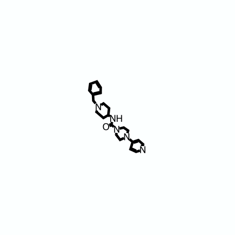 O=C(NC1CCN(Cc2ccccc2)CC1)N1CCN(c2ccncc2)CC1